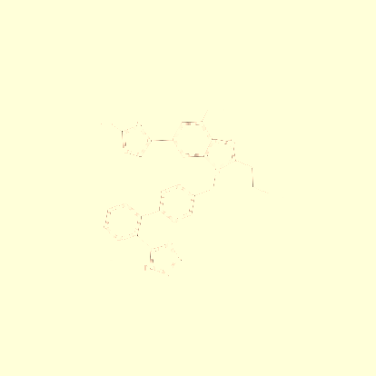 CCCc1nc2c(C)cc(-c3csc(C)n3)cc2n1Cc1ccc(-c2ccccc2-c2nnn[nH]2)cc1.Cl.Cl